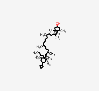 CCCCC1(/C=C/C(C)CCCC(C)CCCCC(C)CCCC(C)CC2C(C)CC(O)CC2(C)C)C(C)(C)CC(C2CCC2)CC1(C)C